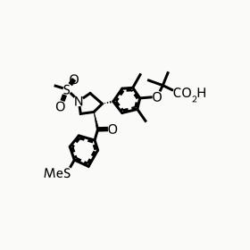 CSc1ccc(C(=O)[C@H]2CN(S(C)(=O)=O)C[C@@H]2c2cc(C)c(OC(C)(C)C(=O)O)c(C)c2)cc1